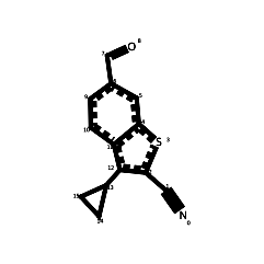 N#Cc1sc2cc(C=O)ccc2c1C1CC1